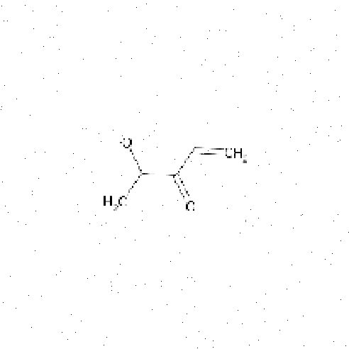 [CH2]C([O])C(=O)C=C